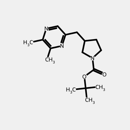 Cc1ncc(CC2CCN(C(=O)OC(C)(C)C)C2)nc1C